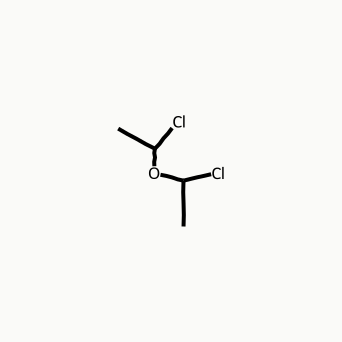 CC(Cl)OC(C)Cl